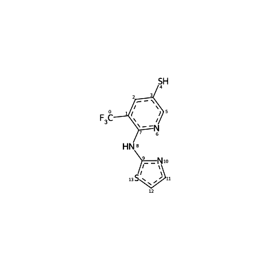 FC(F)(F)c1cc(S)cnc1Nc1nccs1